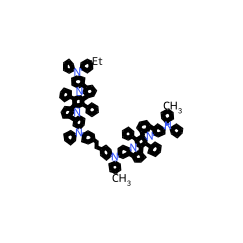 CCc1ccc(N(c2ccccc2)c2ccc3c(c2)c2cccc4c5c(-c6ccccc6)c6c(c(-c7ccccc7)c5n3c24)c2cccc3c4cc(N(c5ccccc5)c5ccc(CCc7ccc(N(c8ccc(C)cc8)c8ccc9c(c8)c8cccc%10c%11c(-c%12ccccc%12)c%12c(c(-c%13ccccc%13)c%11n9c8%10)c8cccc9c%10cc(N(c%11ccccc%11)c%11ccc(C)cc%11)ccc%10n%12c98)cc7)cc5)ccc4n6c32)cc1